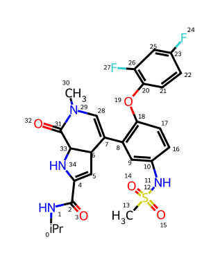 CC(C)NC(=O)C1=CC2C(c3cc(NS(C)(=O)=O)ccc3Oc3ccc(F)cc3F)=CN(C)C(=O)C2N1